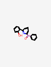 O=[PH](c1ccccc1)c1cccc(-c2ccccc2O)n1